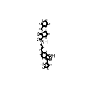 O=C(NCC=Cc1ccc2c(-c3ccc[nH]3)n[nH]c2c1)c1cccn(Cc2cccnc2)c1=O